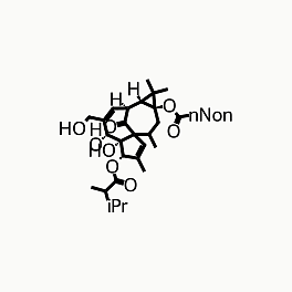 CCCCCCCCCC(=O)O[C@@]12CC(C)C34C=C(C)[C@H](OC(=O)C(C)C(C)C)[C@@]3(O)[C@H](O)C(CO)=C[C@H](C4=O)[C@@H]1C2(C)C